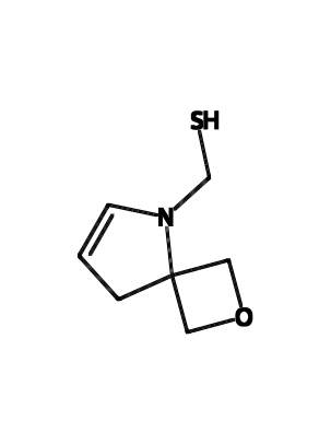 SCN1C=CCC12COC2